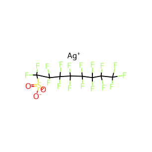 O=S(=O)([O-])C(F)(F)C(F)(F)C(F)(F)C(F)(F)C(F)(F)C(F)(F)C(F)(F)C(F)(F)F.[Ag+]